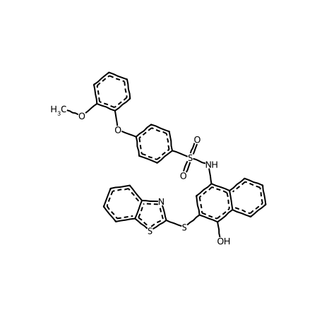 COc1ccccc1Oc1ccc(S(=O)(=O)Nc2cc(Sc3nc4ccccc4s3)c(O)c3ccccc23)cc1